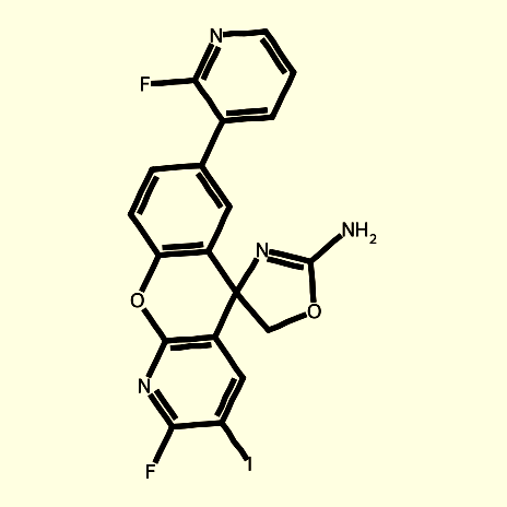 NC1=NC2(CO1)c1cc(-c3cccnc3F)ccc1Oc1nc(F)c(I)cc12